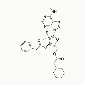 CNc1nc(C)nc2c1ncn2[C@@H]1O[C@H](COC(=O)CC2CCCCC2)[C@@H](OC(=O)Cc2ccccc2)[C@@]1(C)F